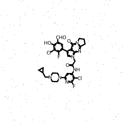 O=Cc1cc(-c2cn(CC(=O)Nc3cc(N4CCN(CC5CC5)CC4)nc(F)c3Cl)c3nc4n(c(=O)c23)CCC4)c(F)c(Cl)c1O